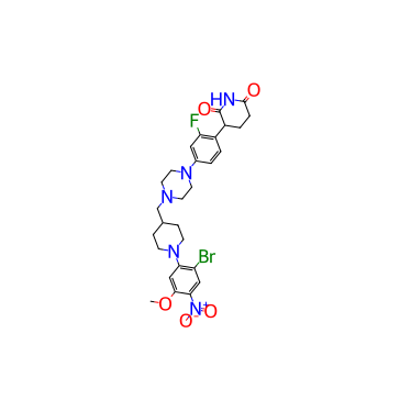 COc1cc(N2CCC(CN3CCN(c4ccc(C5CCC(=O)NC5=O)c(F)c4)CC3)CC2)c(Br)cc1[N+](=O)[O-]